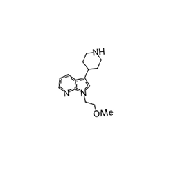 COCCn1cc(C2CCNCC2)c2cccnc21